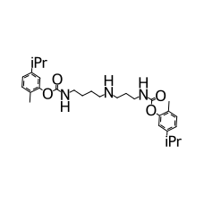 Cc1ccc(C(C)C)cc1OC(=O)NCCCCNCCCNC(=O)Oc1cc(C(C)C)ccc1C